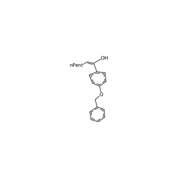 CCCCC/C=C(/O)c1ccc(OCc2ccccc2)cc1